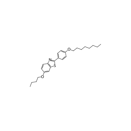 CCCCCCCCOc1ccc(-c2nc3ccc(OCCCC)cc3s2)cc1